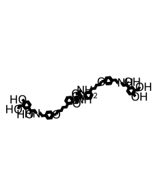 NC(=O)N(NS(=O)(=O)c1cccc(CCCCOc2ccc(CCNC[C@@H](O)c3ccc(O)c(CO)c3)cc2)c1)c1cccc(CCCCOc2ccc(CCNC[C@@H](O)c3ccc(O)c(CO)c3)cc2)c1